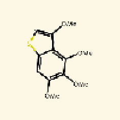 COc1cc2s[c]c(OC)c2c(OC)c1OC